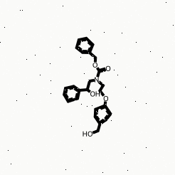 O=C(OCc1ccccc1)N(CCOc1ccc(CO)cc1)CC(O)c1ccccc1